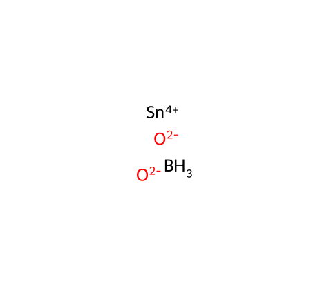 B.[O-2].[O-2].[Sn+4]